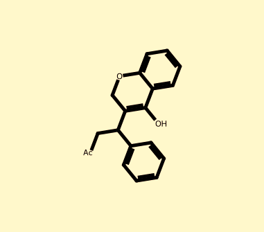 CC(=O)CC(C1=C(O)c2ccccc2OC1)c1ccccc1